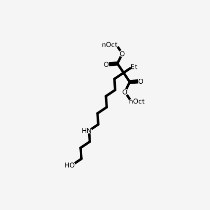 CCCCCCCCOC(=O)C(CC)(CCCCCCNCCCO)C(=O)OCCCCCCCC